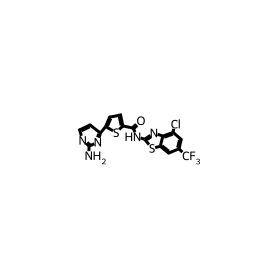 Nc1nccc(-c2ccc(C(=O)Nc3nc4c(Cl)cc(C(F)(F)F)cc4s3)s2)n1